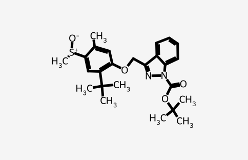 Cc1cc(OCc2nn(C(=O)OC(C)(C)C)c3ccccc23)c(C(C)(C)C)cc1[S+](C)[O-]